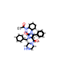 CCC(=O)NC1CCCCC1n1c(-c2ccccc2)c(C(=O)N2CCNCC2)n(CC2CCCCC2)c1=O